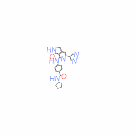 O=C(NC1CCCC1)c1ccc(Nc2nc(-c3cncnc3)cc3cc[nH]c(=O)c23)cc1